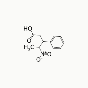 CC(C(CC(=O)O)c1ccccc1)[N+](=O)[O-]